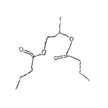 [CH2]C(COC(=O)CCC)OC(=O)CCC